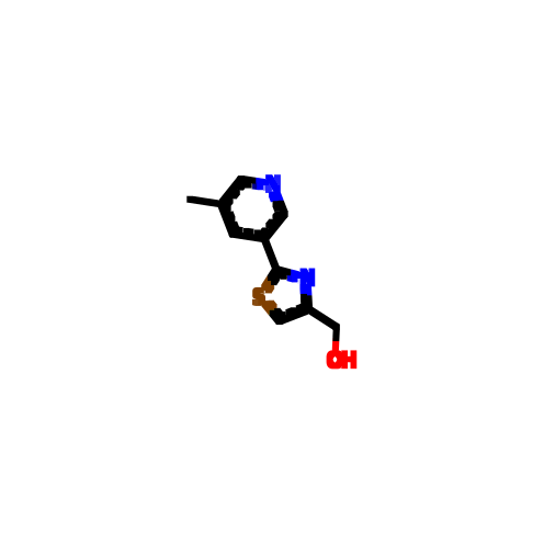 Cc1cncc(-c2nc(CO)cs2)c1